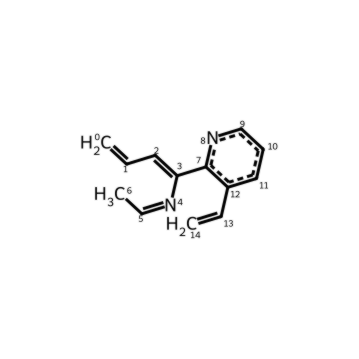 C=C/C=C(\N=C/C)c1ncccc1C=C